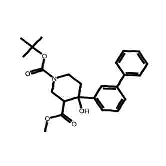 COC(=O)C1CN(C(=O)OC(C)(C)C)CCC1(O)c1cccc(-c2ccccc2)c1